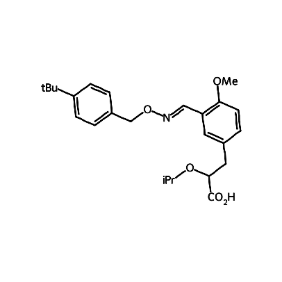 COc1ccc(CC(OC(C)C)C(=O)O)cc1C=NOCc1ccc(C(C)(C)C)cc1